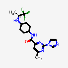 Cc1cc(C(=O)NC2CCC(N[C@H](C)C(F)(F)F)CC2)nc(-n2ccnc2)n1